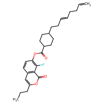 C=CCC/C=C/CCC1CCC(C(=O)Oc2ccc3cc(CCC)oc(=O)c3c2F)CC1